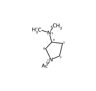 CC(=O)N1CCC(N(C)C)C1